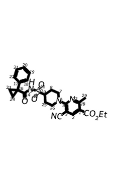 CCOC(=O)c1cc(C#N)c(N2CCC(S(=O)(=O)NC(=O)C3(c4ccccc4)CC3)CC2)nc1C